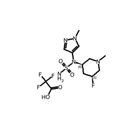 CN1C[C@@H](F)C[C@@H](N(c2cnn(C)c2)S(N)(=O)=O)C1.O=C(O)C(F)(F)F